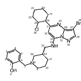 Oc1ccccc1CN1CCCC(CNc2cc(C3CCCCC3Cl)nc3c(Br)cnn23)C1